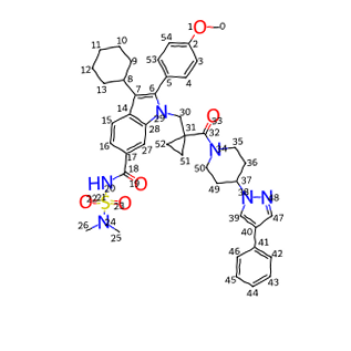 COc1ccc(-c2c(C3CCCCC3)c3ccc(C(=O)NS(=O)(=O)N(C)C)cc3n2CC2(C(=O)N3CCC(n4cc(-c5ccccc5)cn4)CC3)CC2)cc1